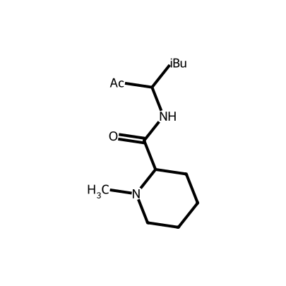 CCC(C)C(NC(=O)C1CCCCN1C)C(C)=O